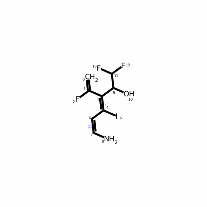 C=C(F)/C(=C(I)\C=C/N)C(O)C(F)F